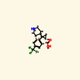 FC(F)(F)c1ccc(C2(C3CCNCC3)CC2)cc1.O=CO